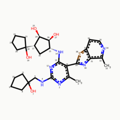 Cc1nc(NCC2(O)CCCC2)nc(N[C@@H]2C[C@H](C3(O)CCCC3)[C@@H](O)[C@H]2O)c1-c1nc2c(C)nccc2s1